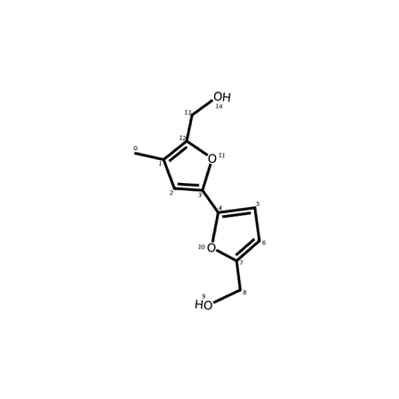 Cc1cc(-c2ccc(CO)o2)oc1CO